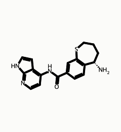 N[C@H]1CCCSc2cc(C(=O)Nc3ccnc4[nH]ccc34)ccc21